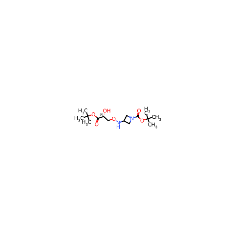 CC(C)(C)OC(=O)[C@H](O)CONC1CN(C(=O)OC(C)(C)C)C1